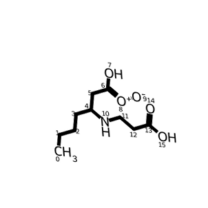 CCCCC(CC(O)=[O+][O-])NCCC(=O)O